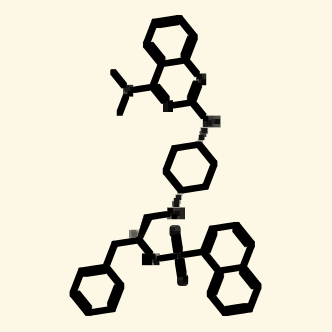 CN(C)c1nc(N[C@H]2CC[C@@H](NC[C@H](Cc3ccccc3)NS(=O)(=O)c3cccc4ccccc34)CC2)nc2ccccc12